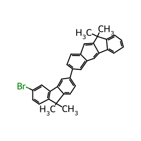 CC1(C)c2ccc(Br)cc2-c2cc(-c3ccc4cc5c(cc4c3)-c3ccccc3C5(C)C)ccc21